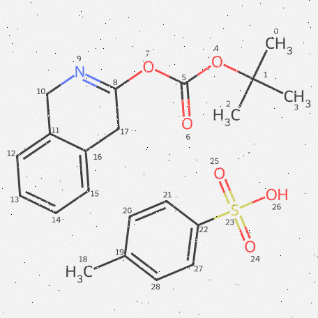 CC(C)(C)OC(=O)OC1=NCc2ccccc2C1.Cc1ccc(S(=O)(=O)O)cc1